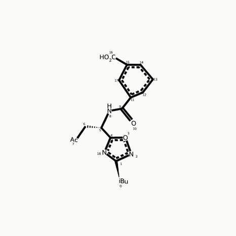 CC[C@H](C)c1noc([C@H](CC(C)=O)NC(=O)c2cccc(C(=O)O)c2)n1